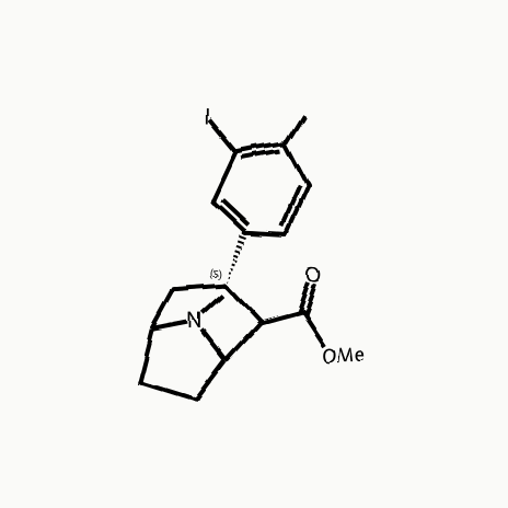 COC(=O)C1C2CCC(C[C@@H]1c1ccc(C)c(I)c1)N2C